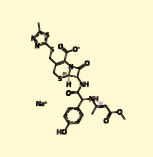 COC(=O)/C=C(\C)NC(C(=O)NC1C(=O)N2C(C(=O)[O-])=C(CSc3nnc(C)s3)CS[C@H]12)c1ccc(O)cc1.[Na+]